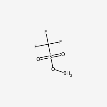 BOS(=O)(=O)C(F)(F)F